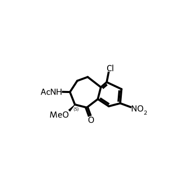 CO[C@@H]1C(=O)c2cc([N+](=O)[O-])cc(Cl)c2CCC1NC(C)=O